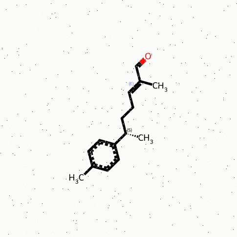 C/C(C=O)=C\CC[C@H](C)c1ccc(C)cc1